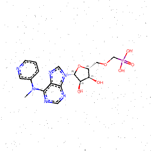 CN(c1cccnc1)c1ncnc2c1ncn2[C@@H]1O[C@H](COCP(=O)(O)O)[C@@H](O)[C@H]1O